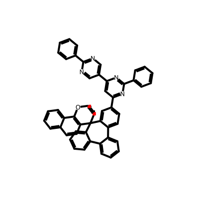 c1ccc(-c2ncc(-c3cc(-c4ccc5c(c4)C4(c6ccccc6Oc6c4ccc4ccccc64)c4ccccc4-c4ccccc4-5)nc(-c4ccccc4)n3)cn2)cc1